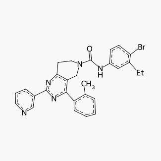 CCc1cc(NC(=O)N2CCc3nc(-c4cccnc4)nc(-c4ccccc4C)c3C2)ccc1Br